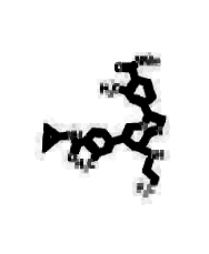 CNC(=O)c1ccc(-c2cnc3c(NCCC(F)(F)F)cc(-c4ccc(C(=O)NC5CC5)c(C)c4)cn23)cc1C